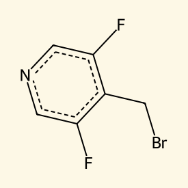 Fc1cncc(F)c1CBr